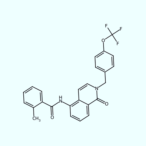 Cc1ccccc1C(=O)Nc1cccc2c(=O)n(Cc3ccc(OC(F)(F)F)cc3)ccc12